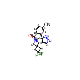 CC(C)C1(c2cc(C#N)ccc2C(=O)N2CC3(C2)CC(F)(F)C3)C=CN=N1